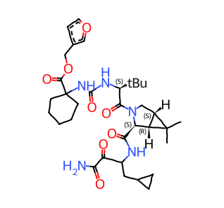 CC(C)(C)[C@H](NC(=O)NC1(C(=O)OCc2ccoc2)CCCCC1)C(=O)N1C[C@H]2[C@@H]([C@H]1C(=O)NC(CC1CC1)C(=O)C(N)=O)C2(C)C